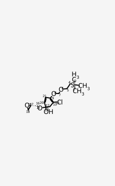 C[Si](C)(C)CCOCOC1=C(Cl)CC(O)(OC[C@@H]2CO2)C=C1